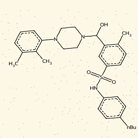 CCCCc1ccc(NS(=O)(=O)c2ccc(C)c(C(O)N3CCN(c4cccc(C)c4C)CC3)c2)cc1